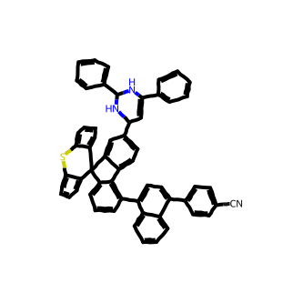 N#Cc1ccc(-c2ccc(-c3cccc4c3-c3ccc(C5C=C(c6ccccc6)NC(c6ccccc6)N5)cc3C43c4ccccc4Sc4ccccc43)c3ccccc23)cc1